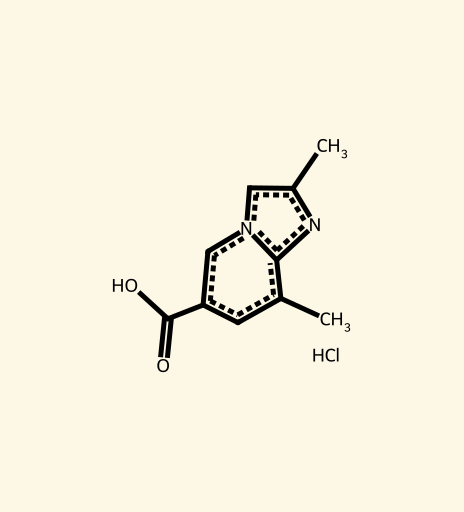 Cc1cn2cc(C(=O)O)cc(C)c2n1.Cl